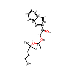 CCC(C)(CCCC(C)C)OC(C)OCC(=O)c1ccc2ccccc2c1